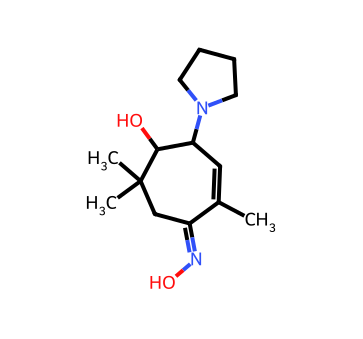 CC1=CC(N2CCCC2)C(O)C(C)(C)CC1=NO